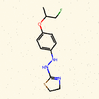 CC(CF)Oc1ccc(NNC2=NCCS2)cc1